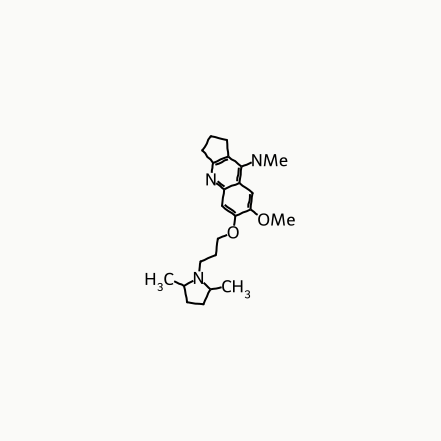 CNc1c2c(nc3cc(OCCCN4C(C)CCC4C)c(OC)cc13)CCC2